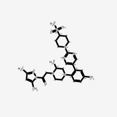 Cc1cc(C)n(C(=O)CN2CCN(c3ccc(C(F)(F)F)cc3-c3cnc(N4CCC(S(C)(=O)=O)CC4)nc3)CC2C)n1